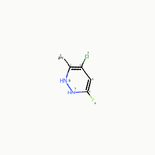 CC(C)C1=C(Cl)C=C(F)NN1